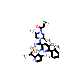 C=CC(=O)N1CC(C)N(C2=NS(=O)(=O)N(c3c(C)ccnc3C(C)C)c3nc(-c4ccccc4C)c(Cl)cc32)CC1C